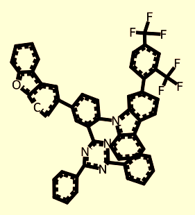 FC(F)(F)c1ccc(-c2ccc3c4ccccc4n(-c4ccc(-c5ccc6oc7ccccc7c6c5)cc4-c4nc(-c5ccccc5)nc(-c5ccccc5)n4)c3c2)c(C(F)(F)F)c1